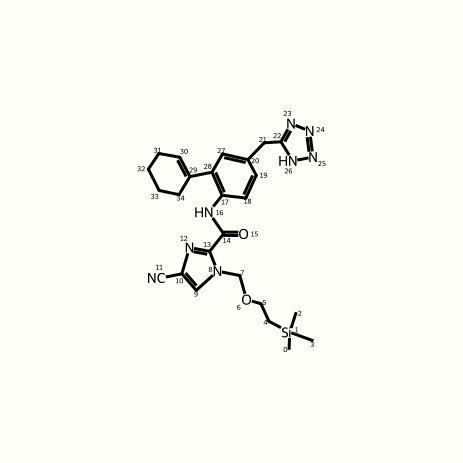 C[Si](C)(C)CCOCn1cc(C#N)nc1C(=O)Nc1ccc(Cc2nnn[nH]2)cc1C1=CCCCC1